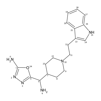 Nc1nnc(C(N)C2CCN(CCc3c[nH]c4ccccc34)CC2)o1